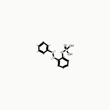 O=P(O)(O)Oc1ccccc1OOc1ccccc1